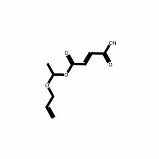 C=CCOC(C)OC(=O)C=CC(=O)O